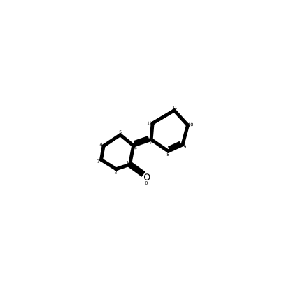 O=C1CCCCC1=C1C=CCCC1